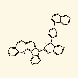 C1=Cc2ccc3c(c2Oc2ccccc21)c1ccccc1n3-c1nc(-c2ccc(-c3cccc4ccccc34)cc2)c2ccccc2n1